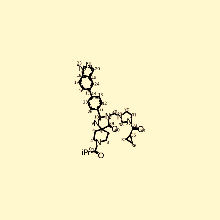 CC(C)C(=O)N1CCC2(CC1)N=C(c1ccc(-c3ccc4c(cnn4C)c3)cc1)N(CN1CCN(C(=O)C3CC3)C1)C2=O